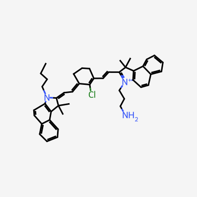 CCCCN1/C(=C/C=C2\CCCC(/C=C/C3=[N+](CCCN)c4ccc5ccccc5c4C3(C)C)=C2Cl)C(C)(C)c2c1ccc1ccccc21